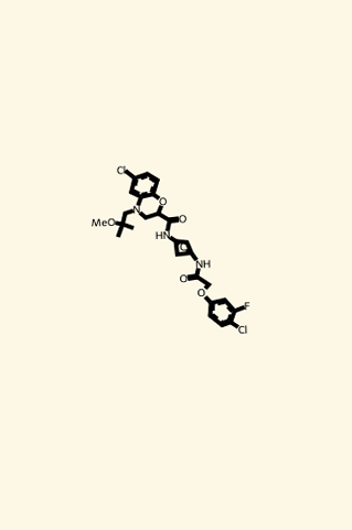 COC(C)(C)CN1CC(C(=O)NC23CC(NC(=O)COc4ccc(Cl)c(F)c4)(C2)C3)Oc2ccc(Cl)cc21